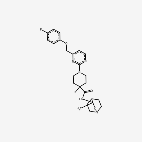 CC1(NC(=O)C2(F)CCN(c3nccc(COc4ccc(F)cc4)n3)CC2)CN2CCC1CC2